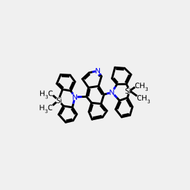 C[Si]1(C)c2ccccc2N(c2c3ccccc3c(N3c4ccccc4[Si](C)(C)c4ccccc43)c3cnccc23)c2ccccc21